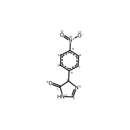 O=C1NC=NC1c1ccc([N+](=O)[O-])cc1